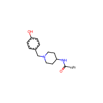 CCCC(=O)NC1CCN(Cc2ccc(O)cc2)CC1